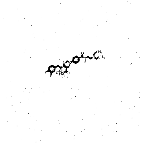 CCN(CC)CCNC(=O)c1ccc(N2C=NC3=C(C2)C(=O)N(C)[NH+]([O-])C3Cc2ccc(F)c(F)c2)cc1